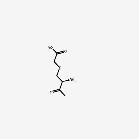 CC(=O)[C@H](N)CSCC(=O)O